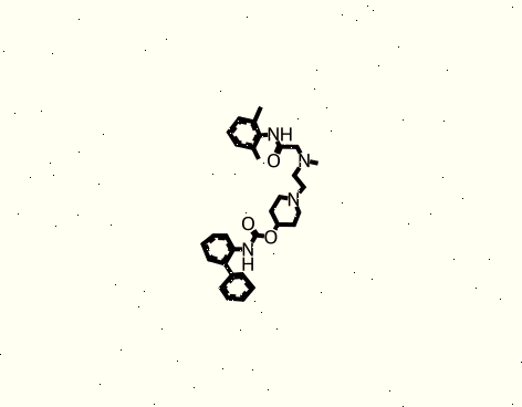 Cc1cccc(C)c1NC(=O)CN(C)CCN1CCC(OC(=O)Nc2ccccc2-c2ccccc2)CC1